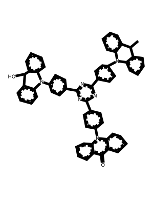 CC1c2ccccc2N(c2ccc(-c3nc(-c4ccc(N5c6ccccc6C(O)c6ccccc65)cc4)nc(-c4ccc(-n5c6ccccc6c(=O)c6ccccc65)cc4)n3)cc2)c2ccccc21